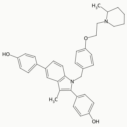 Cc1c(-c2ccc(O)cc2)n(Cc2ccc(OCCN3CCCCC3C)cc2)c2ccc(-c3ccc(O)cc3)cc12